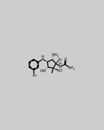 CC[C@]1(NC(N)=O)[C@@H](N)[C@H](Nc2cccc(C(C)=O)c2)[C@@H](N=O)[C@]1(C)N=O